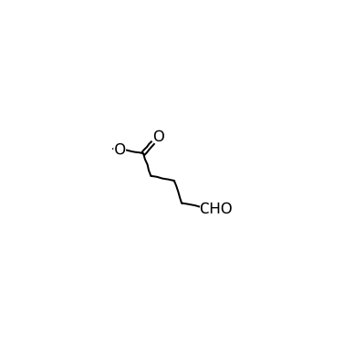 [O]C(=O)CCCC=O